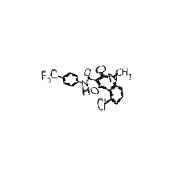 Cn1c(=O)c(C(=O)Nc2ccc(C(F)(F)F)cc2)c(O)c2c(Cl)cccc21